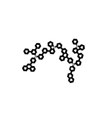 C1=C(c2ccc3ccccc3c2)CCC(N(c2ccc(-c3cc4ccc(-c5cccc(-n6c7ccccc7c7c(-c8cccc(-c9cccc(N(c%10ccc(-c%11cc%12ccccc%12c%12ccccc%11%12)cc%10)c%10cc(-c%11ccccc%11)cc(-c%11ccccc%11)c%10)c9)c8)cccc76)c5)cc4c4ccccc34)cc2)c2cccc(-c3cccc(-c4cccc5c4c4ccccc4n5-c4ccccc4)c3)c2)=C1